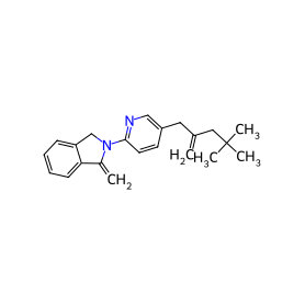 C=C(Cc1ccc(N2Cc3ccccc3C2=C)nc1)CC(C)(C)C